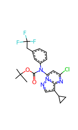 CC(C)(C)OC(=O)N(c1cccc(CC(F)(F)F)c1)c1cc(Cl)nc2c(C3CC3)cnn12